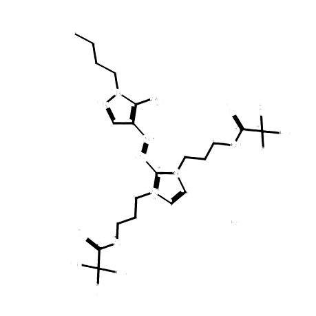 CCCCn1ncc(/N=N/c2n(CCCNC(=O)C(F)(F)F)cc[n+]2CCCNC(=O)C(F)(F)F)c1N.[Br-]